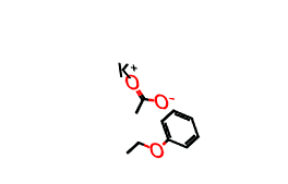 CC(=O)[O-].CCOc1ccccc1.[K+]